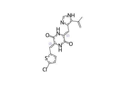 C=C(C)c1[nH]cnc1/C=c1\[nH]c(=O)/c(=C/c2ccc(Cl)s2)[nH]c1=O